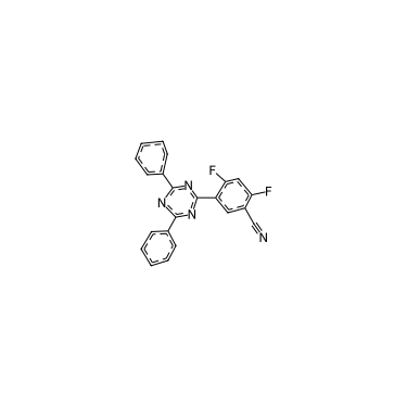 N#Cc1cc(-c2nc(-c3ccccc3)nc(-c3ccccc3)n2)c(F)cc1F